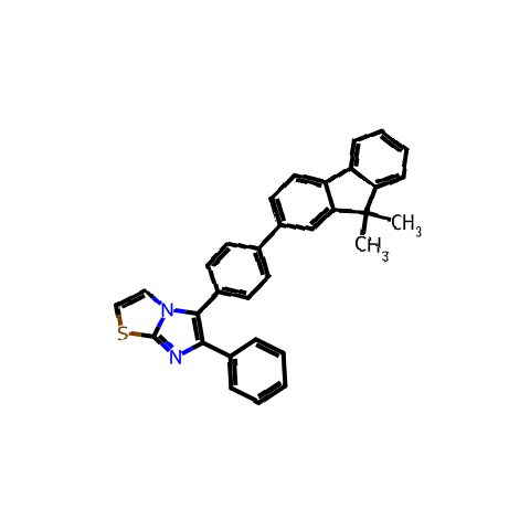 CC1(C)c2ccccc2-c2ccc(-c3ccc(-c4c(-c5ccccc5)nc5sccn45)cc3)cc21